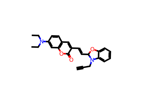 C#CCN1c2ccccc2OC1C=Cc1cc2ccc(N(CC)CC)cc2oc1=O